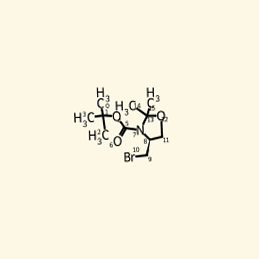 CC(C)(C)OC(=O)N1[C@H](CBr)COC1(C)C